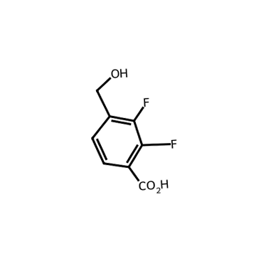 O=C(O)c1ccc(CO)c(F)c1F